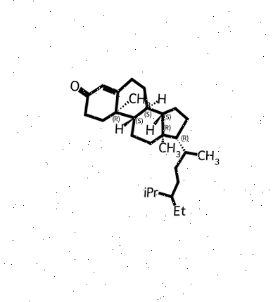 CCC(CCC(C)[C@H]1CC[C@H]2[C@@H]3CCC4=CC(=O)CC[C@]4(C)[C@H]3CC[C@]12C)C(C)C